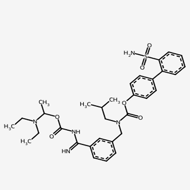 CCN(CC)C(C)OC(=O)NC(=N)c1cccc(CN(CC(C)C)C(=O)Oc2ccc(-c3ccccc3S(N)(=O)=O)cc2)c1